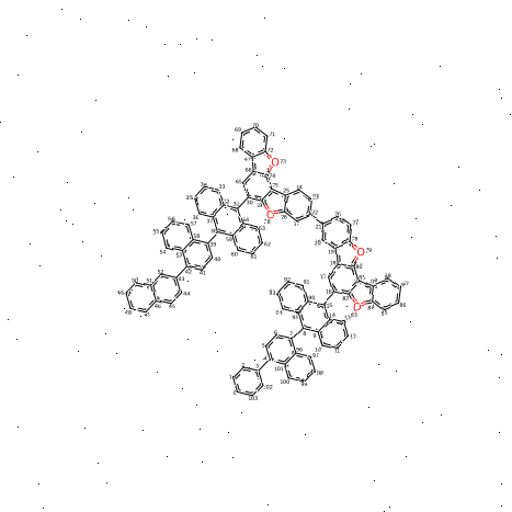 c1ccc(-c2ccc(-c3c4ccccc4c(-c4cc5c6cc(-c7ccc8c(c7)oc7c(-c9c%10ccccc%10c(-c%10ccc(-c%11ccc%12ccccc%12c%11)c%11ccccc%10%11)c%10ccccc9%10)cc9c%10ccccc%10oc9c78)ccc6oc5c5c4oc4ccccc45)c4ccccc34)c3ccccc23)cc1